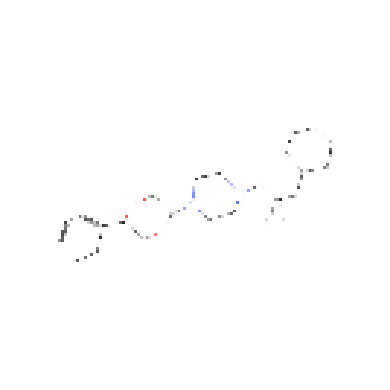 CN[C@H](CC1CCCCC1)CN1CCN(C2COC(C3=CC=CCC3)CO2)CC1